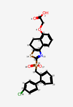 O=C(O)COc1cccc2c1CCc1sc(S(=O)(=O)Cc3ccccc3-c3ccc(Cl)cc3)nc1-2